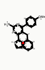 COc1ccc(-c2nc(N)nc(-c3cccs3)c2Cc2ccccc2)cc1